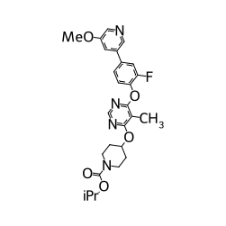 COc1cncc(-c2ccc(Oc3ncnc(OC4CCN(C(=O)OC(C)C)CC4)c3C)c(F)c2)c1